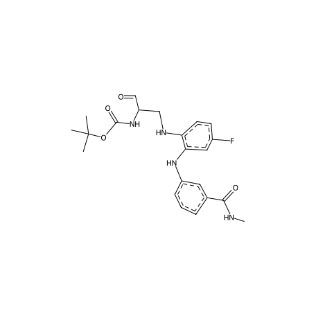 CNC(=O)c1cccc(Nc2cc(F)ccc2NCC(C=O)NC(=O)OC(C)(C)C)c1